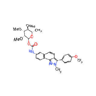 CO[C@@H]1[C@@H](OC)[C@H](C)O[C@@H](OC(=O)Nc2ccc3c(ccc4c(-c5ccc(OC(F)(F)F)cc5)n(C)nc43)c2)[C@@H]1OC